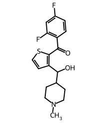 CN1CCC(C(O)c2ccsc2C(=O)c2ccc(F)cc2F)CC1